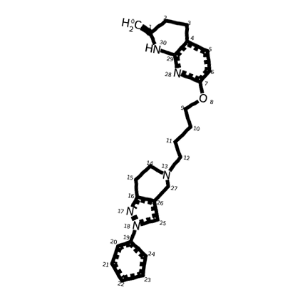 C=C1CCc2ccc(OCCCCN3CCc4nn(-c5ccccc5)cc4C3)nc2N1